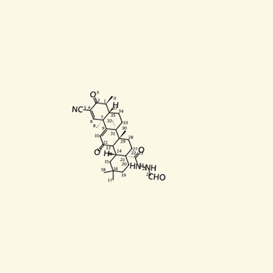 C[C@@H]1C(=O)C(C#N)=C[C@]2(C)C3=CC(=O)C4[C@H]5CC(C)(C)CC[C@]5(C(=O)NNC=O)CC[C@@]4(C)[C@]3(C)CC[C@@H]12